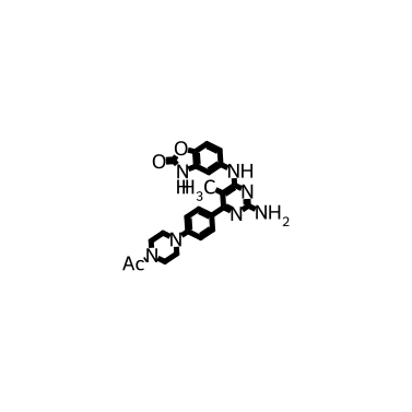 CC(=O)N1CCN(c2ccc(-c3nc(N)nc(Nc4ccc5oc(=O)[nH]c5c4)c3C)cc2)CC1